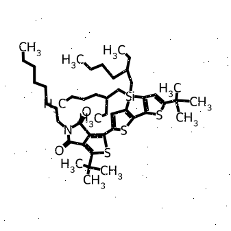 CCCCCCCCN1C(=O)c2c(-c3cc4c(s3)-c3sc(C(C)(C)C)cc3[Si]4(CC(CC)CCCC)CC(CC)CCCC)sc(C(C)(C)C)c2C1=O